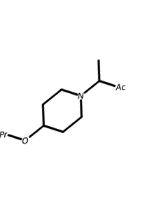 CC(=O)C(C)N1CCC(OC(C)C)CC1